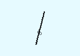 CCCCCCCCCCCCCCCCCCCCOC(=O)CCCCCCCCCCC